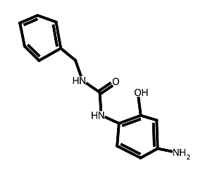 Nc1ccc(NC(=O)NCc2ccccc2)c(O)c1